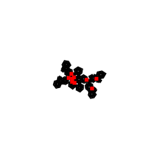 CC1(C)c2ccccc2-c2ccc(N(c3ccc4c(c3)C(C)(C)c3ccccc3-4)c3ccc4c(-c5ccccc5-c5ccccc5)c5cc(N(c6ccc7c(c6)C(C)(C)c6ccccc6-7)c6ccc7c(c6)C(C)(C)C6C=CC=CC76)ccc5c(-c5ccccc5-c5ccccc5)c4c3)cc21